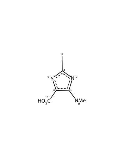 CNc1nc(I)sc1C(=O)O